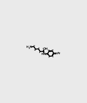 CCCC1=CCC(NC(O)CCCCN)C=C1